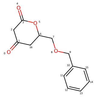 O=C1CC(=O)OC(COCc2ccccc2)C1